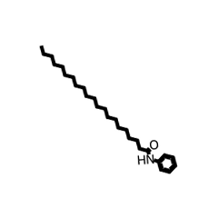 CCCCCCCCCCCCCCCCCCCCC(=O)Nc1ccccc1